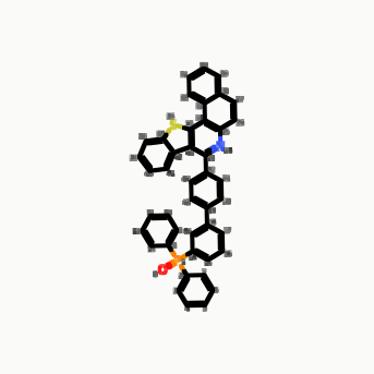 O=P(c1ccccc1)(c1ccccc1)c1cccc(-c2ccc(-c3nc4ccc5ccccc5c4c4sc5ccccc5c34)cc2)c1